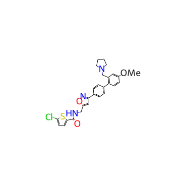 COc1ccc(-c2ccc(-c3cc(CNC(=O)c4ccc(Cl)s4)on3)cc2)c(CN2CCCC2)c1